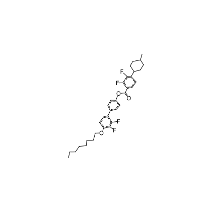 CCCCCCCCOc1ccc(-c2ccc(OC(=O)c3ccc(C4CCC(C)CC4)c(F)c3F)cc2)c(F)c1F